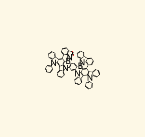 c1ccc(-n2c3ccccc3c3c4c5c6c(c7ccccc7n6-c6cc7c(cc6B5n5c6ccccc6c6cccc-4c65)B4c5c(c6c8ccccc8n(-c8ccccc8)c6c6c8ccccc8n-7c56)-c5cccc6c7ccccc7n4c56)c32)cc1